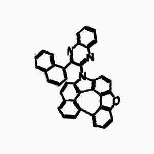 c1ccc2c(-c3nc4ccccc4nc3-n3c4ccc5cccc6c5c4c4c5c(ccc43)oc3cccc-6c35)cccc2c1